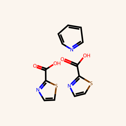 O=C(O)c1nccs1.O=C(O)c1nccs1.c1ccncc1